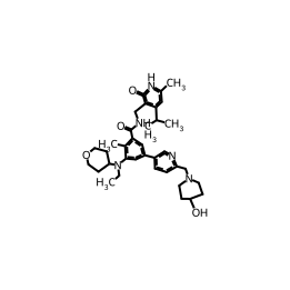 CCN(c1cc(-c2ccc(CN3CCC(O)CC3)nc2)cc(C(=O)NCc2c(C(C)C)cc(C)[nH]c2=O)c1C)C1CCOCC1